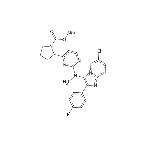 CN(c1nccc(C2CCCN2C(=O)OC(C)(C)C)n1)c1c(-c2ccc(F)cc2)nc2ccc(Cl)cn12